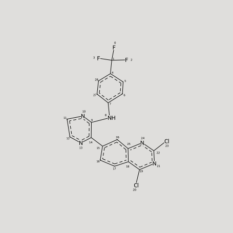 FC(F)(F)c1ccc(Nc2nccnc2-c2ccc3c(Cl)nc(Cl)nc3c2)cc1